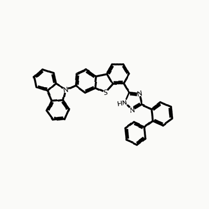 c1ccc(-c2ccccc2-c2n[nH]c(-c3cccc4c3sc3cc(-n5c6ccccc6c6ccccc65)ccc34)n2)cc1